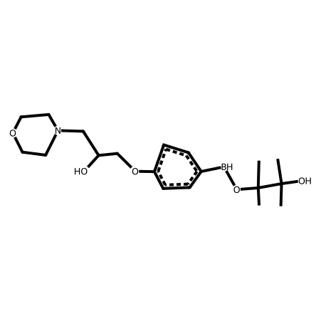 CC(C)(O)C(C)(C)OBc1ccc(OCC(O)CN2CCOCC2)cc1